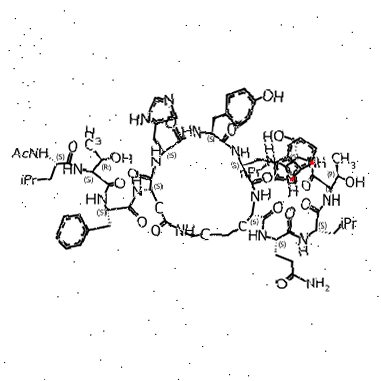 CCCNC(=O)[C@H](CO)NC(=O)[C@@H](NC(=O)[C@H](CC(C)C)NC(=O)[C@H](CCC(N)=O)NC(=O)[C@@H]1CCCCNC(=O)C[C@H](NC(=O)[C@H](Cc2ccccc2)NC(=O)[C@@H](NC(=O)[C@H](CC(C)C)NC(C)=O)[C@@H](C)O)C(=O)N[C@@H](Cc2cnc[nH]2)C(=O)N[C@@H](Cc2ccc(O)cc2)C(=O)N[C@@H](Cc2c[nH]c3ccccc23)C(=O)N1)[C@@H](C)O